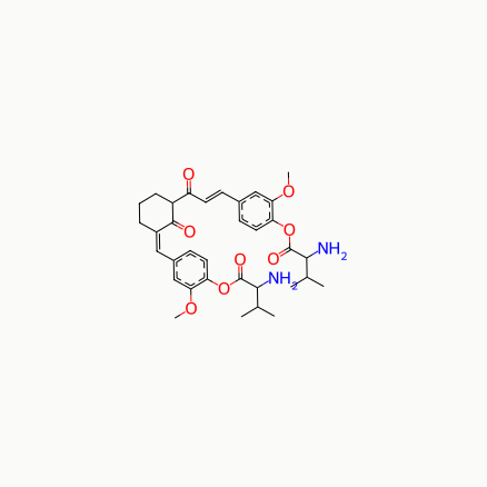 COc1cc(/C=C2/CCCC(C(=O)/C=C/c3ccc(OC(=O)C(N)C(C)C)c(OC)c3)C2=O)ccc1OC(=O)C(N)C(C)C